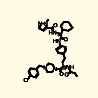 CCC(=O)N[C@H](CCc1ccc(NC(=O)[C@@H](NC(=O)c2ccnn2C)C2CCCCC2)cc1)C(=O)N1CCN(Cc2ccc(Cl)cc2)CC1